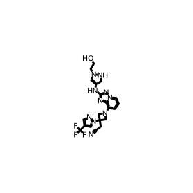 N#CCC1(n2cc(C(F)(F)F)cn2)CN(c2cccn3nc(NC4=CN(CCO)NC4)nc23)C1